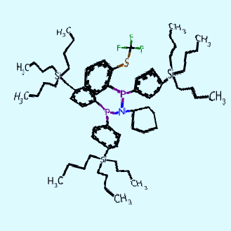 CCCC[Si](CCCC)(CCCC)c1ccc(P(c2ccc([Si](CCCC)(CCCC)CCCC)cc2)N(C2CCCCC2)P(c2ccc([Si](CCCC)(CCCC)CCCC)cc2)c2ccccc2SC(F)(F)F)cc1